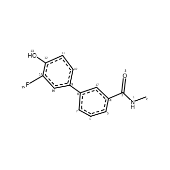 CNC(=O)c1cccc(-c2ccc(O)c(F)c2)c1